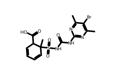 Cc1nc(NC(=O)NS(=O)(=O)C2(C)C=CC=CC2C(=O)O)nc(C)c1Br